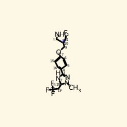 CN1N=C(c2ccc(OC/C(=C/F)CN)cc2)NC1CC(F)(F)F